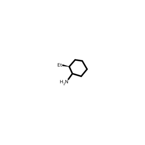 CC[C@H]1CCCCC1N